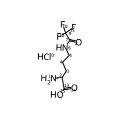 Cl.N[C@@H](CCCNC(=O)C(F)(F)F)C(=O)O